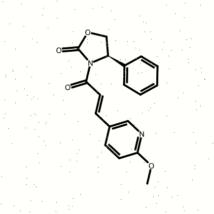 COc1ccc(C=CC(=O)N2C(=O)OC[C@H]2c2ccccc2)cn1